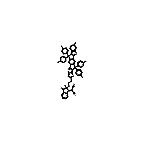 Cc1ccc(C2(c3ccc(C)cc3)c3cc4c(cc3-c3sc5cc(C)ccc5c32)C(c2ccc(C)cc2)(c2ccc(C)cc2)c2c-4sc3cc(CCCC4(C)C(=O)c5ccccc5C4=C(C#N)C#N)sc23)cc1